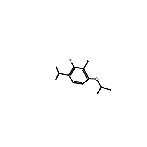 CC(C)Oc1ccc(C(C)C)c(F)c1F